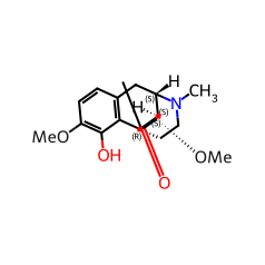 COc1ccc2c(c1O)[C@@]13CCN(C)[C@@H](C2)[C@H]1C[C@H](OC)C(=O)C3